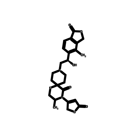 Cc1c([C@@H](O)CN2CCC3(CC2)OCC(C)N(C2=CC(=O)OC2)C3=O)ccc2c1COC2=O